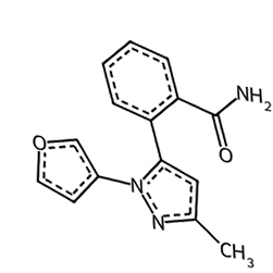 Cc1cc(-c2ccccc2C(N)=O)n(-c2ccoc2)n1